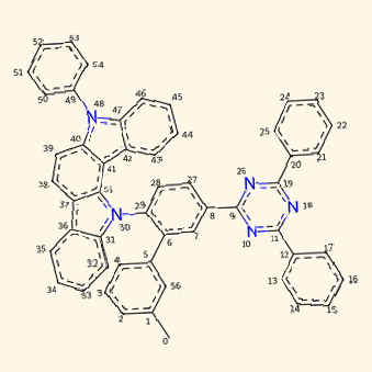 Cc1cccc(-c2cc(-c3nc(-c4ccccc4)nc(-c4ccccc4)n3)ccc2-n2c3ccccc3c3ccc4c(c5ccccc5n4-c4ccccc4)c32)c1